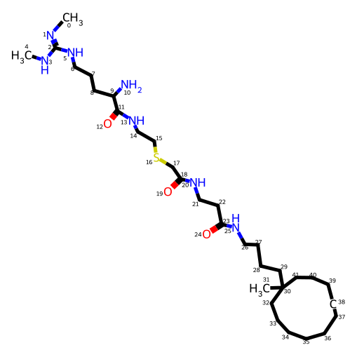 C/N=C(/NC)NCCCC(N)C(=O)NCCSCC(=O)NCCC(=O)NCCCCC1(C)CCCCCCCCCC1